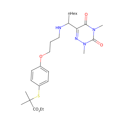 CCCCCCC(NCCCOc1ccc(SC(C)(C)C(=O)OCC)cc1)c1nn(C)c(=O)n(C)c1=O